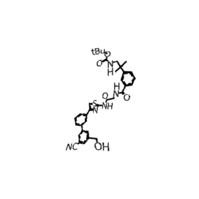 CC(C)(C)OC(=O)NCC(C)(C)c1cccc(C(=O)NCC(=O)Nc2nc(-c3cccc(-c4cc(C#N)cc(CO)c4)c3)cs2)c1